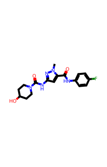 Cn1nc(NC(=O)N2CCC(O)CC2)cc1C(=O)Nc1ccc(F)cc1